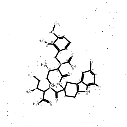 CC[C@H](C)C(NC(=O)[C@@]1(NC(=O)C([C@@H](C)CC)N(Cc2cccc(OC)c2OC)C(=O)O)CCc2[nH]c3c(Cl)cc(Cl)cc3c2C1)C(N)=O